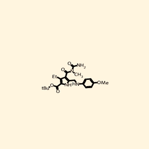 CCc1c(C(=O)OC(C)(C)C)[nH]c(CNc2ccc(OC)cc2)c1C(=O)N(C)C(N)=O